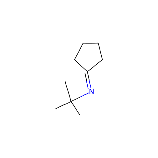 CC(C)(C)N=C1CCCC1